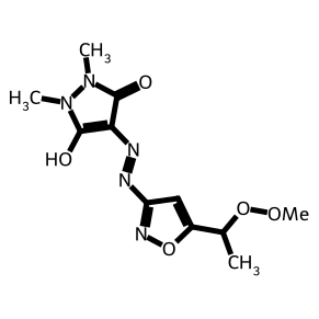 COOC(C)c1cc(N=Nc2c(O)n(C)n(C)c2=O)no1